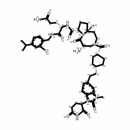 CC(C)c1ccc(CNC(=O)[C@H](CCC(N)=O)NC(=O)[C@@H]2CC[C@@H]3CCN(C(=O)[C@H]4CC[C@@H](CCc5ccc6c(c5)n(C)c(=O)n6C5CCC(=O)NC5=O)CC4)C[C@H](N)C(=O)N32)c(Cl)c1